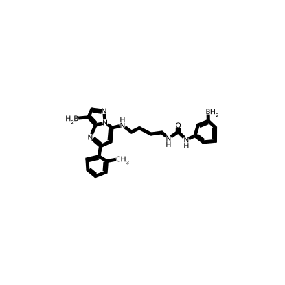 Bc1cccc(NC(=O)NCCCCNc2cc(-c3ccccc3C)nc3c(B)cnn23)c1